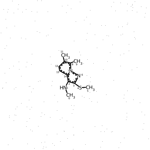 CNc1c(SC)nn2c(C)c(C)ccc12